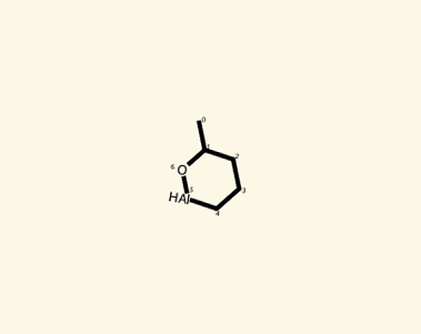 CC1CC[CH2][AlH][O]1